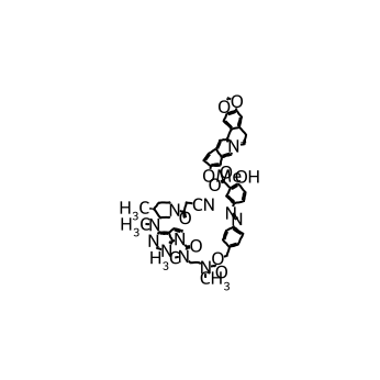 COc1ccc2cc3[n+](cc2c1OC(=O)c1cc(/N=N/c2ccc(COC(=O)N(C)CCN(C)C(=O)n4ccc5c(N(C)[C@@H]6CN(C(=O)CC#N)CC[C@@H]6C)ncnc54)cc2)ccc1O)CCc1cc2c(cc1-3)OCO2